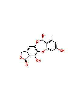 Cc1cc(O)cc2c1C(=O)Oc1cc3c(c(O)c1O2)C(=O)OC3